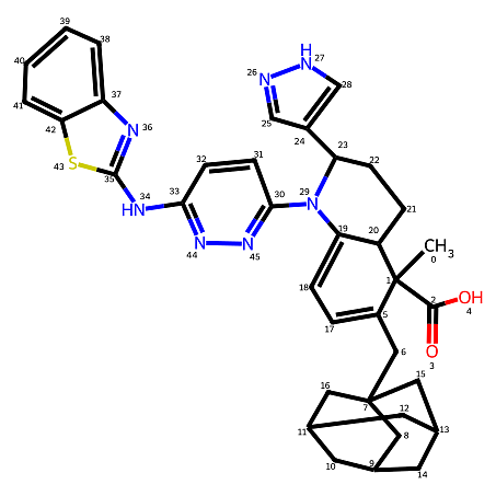 CC1(C(=O)O)C(CC23CC4CC(CC(C4)C2)C3)=CC=C2C1CCC(c1cn[nH]c1)N2c1ccc(Nc2nc3ccccc3s2)nn1